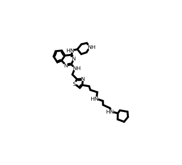 c1ccc2c(NC3CCNCC3)nc(NCc3nc(CCCNCCCNC4CCCCC4)cs3)nc2c1